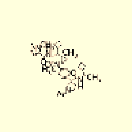 CC(=O)N1CCC(C(=O)NC(C)C2CCC2)(c2ccc([N+]3(C)C(=O)[C@@H](NC(=O)c4ccnn4C)C(C4CCC4)C4(C)CC43)cc2)C1